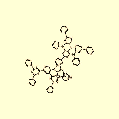 CC(C)(C)c1ccc2c(c1)c1cc(-c3cc4c5c(c3)N(c3ccccc3)c3cc(-c6ccccc6)ccc3B5c3ccc(-c5ccccc5)cc3N4c3ccccc3)ccc1n2-c1ccc(-c2nc(-c3ccccc3)nc(-c3ccccc3)n2)cc1-c1nc(-c2ccccc2)nc(-c2ccccc2)n1